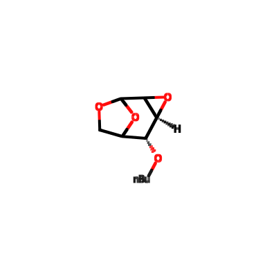 CCCCO[C@@H]1C2COC(O2)C2O[C@H]21